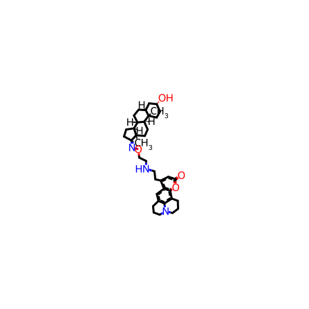 C[C@]12CC[C@@H](O)C[C@@H]1CC[C@@H]1[C@@H]2CC[C@]2(C)/C(=N\OCCNCCc3cc(=O)oc4c5c6c(cc34)CCCN6CCC5)CC[C@@H]12